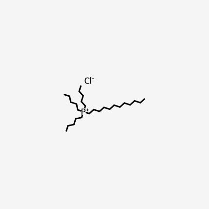 CCCCCCCCCCCC[P+](CCCCC)(CCCCC)CCCCC.[Cl-]